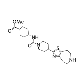 COC(=O)[C@H]1CC[C@H](NC(=O)N2CCC(c3nc4c(s3)CCNCC4)CC2)CC1